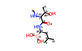 CN[C@H](C(=O)N[C@@H](CC(C)C)B(O)O)[C@@H](C)O